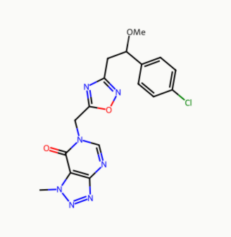 COC(Cc1noc(Cn2cnc3nnn(C)c3c2=O)n1)c1ccc(Cl)cc1